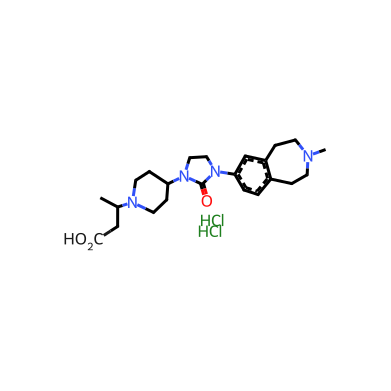 CC(CC(=O)O)N1CCC(N2CCN(c3ccc4c(c3)CCN(C)CC4)C2=O)CC1.Cl.Cl